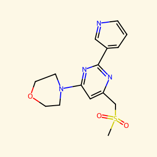 CS(=O)(=O)Cc1cc(N2CCOCC2)nc(-c2cccnc2)n1